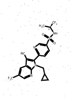 C[C@H](NS(=O)(=O)c1ccc(-c2c(C#N)c3cc(C(F)(F)F)cnc3n2CC2CC2)nc1)C(F)(F)F